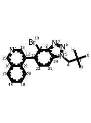 CC(C)(C)Cn1nnc2c(Br)c(-c3cncc4ccccc34)ccc21